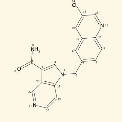 NC(=O)c1cn(Cc2ccc3ncc(Cl)cc3c2)c2ccncc12